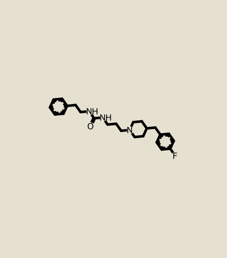 O=C(NCCCN1CCC(Cc2ccc(F)cc2)CC1)NCCc1ccccc1